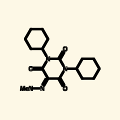 CNN=C1C(=O)N(C2CCCCC2)C(=O)N(C2CCCCC2)C1=O